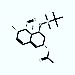 CC(=O)O[C@@H]1C=C2C=C[C@H](C)[C@H](C=O)[C@H]2[C@@H](O[Si](C)(C)C(C)(C)C)C1